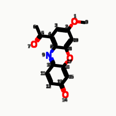 COc1cc(C(C)=O)c2nc3ccc(=O)cc-3oc2c1